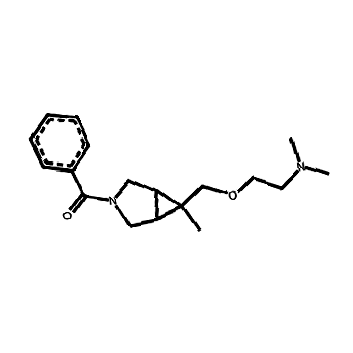 CN(C)CCOCC1(C)C2CN(C(=O)c3ccccc3)CC21